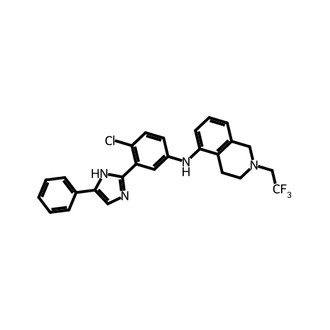 FC(F)(F)CN1CCc2c(cccc2Nc2ccc(Cl)c(-c3ncc(-c4ccccc4)[nH]3)c2)C1